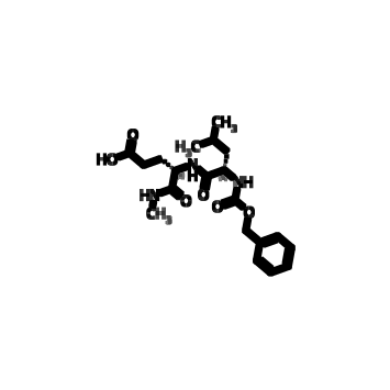 CNC(=O)[C@H](CCC(=O)O)NC(=O)[C@H](CC(C)C)NC(=O)OCc1ccccc1